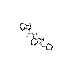 O=C(Nc1cccc2c1cnn2Cc1ccccc1)c1cnc2ccccn12